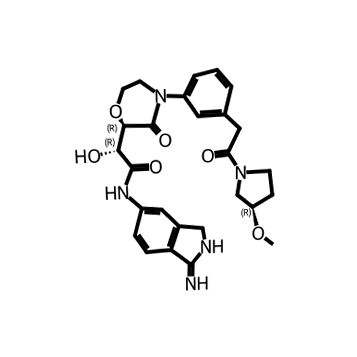 CO[C@@H]1CCN(C(=O)Cc2cccc(N3CCO[C@H]([C@@H](O)C(=O)Nc4ccc5c(c4)CNC5=N)C3=O)c2)C1